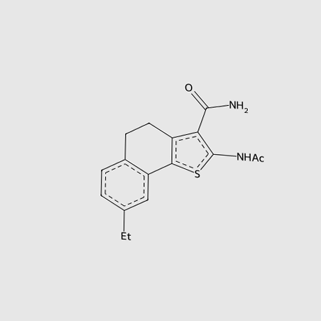 CCc1ccc2c(c1)-c1sc(NC(C)=O)c(C(N)=O)c1CC2